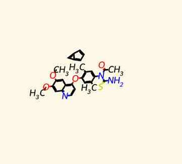 COc1cc2nccc(Oc3cc(C)c(N(C(C)=O)C(N)=S)cc3C)c2cc1OC.c1cc2cc-2c1